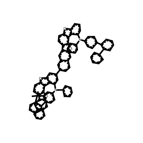 CC1(C)c2ccccc2-c2ccc(N(c3ccccc3)c3cc(-c4ccc5cc6sc7c(ccc8oc9cccc(N(c%10ccccc%10)c%10ccc(-c%11ccccc%11-c%11ccccc%11)cc%10)c9c87)c6cc5c4)cc4oc5ccc6c7cc8ccccc8cc7sc6c5c34)cc21